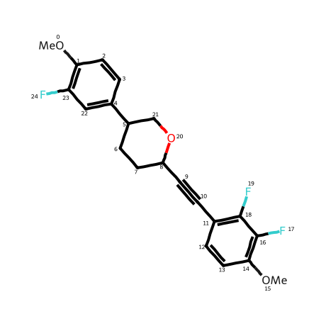 COc1ccc(C2CCC(C#Cc3ccc(OC)c(F)c3F)OC2)cc1F